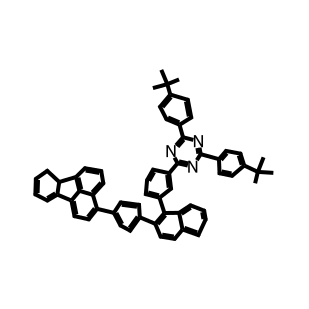 CC(C)(C)c1ccc(-c2nc(-c3ccc(C(C)(C)C)cc3)nc(-c3cccc(-c4c(-c5ccc(-c6ccc7c8c(cccc68)C6CC=CC=C76)cc5)ccc5ccccc45)c3)n2)cc1